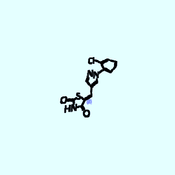 O=C1NC(=O)/C(=C/c2cnn(-c3ccccc3Cl)c2)S1